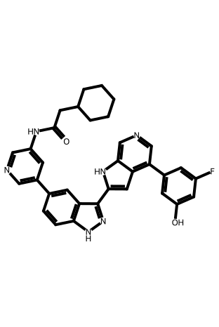 O=C(CC1CCCCC1)Nc1cncc(-c2ccc3[nH]nc(-c4cc5c(-c6cc(O)cc(F)c6)cncc5[nH]4)c3c2)c1